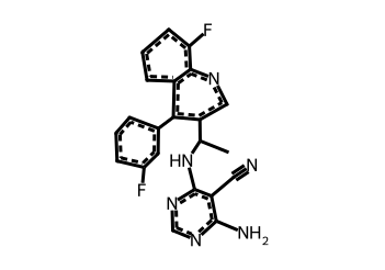 CC(Nc1ncnc(N)c1C#N)c1cnc2c(F)cccc2c1-c1cccc(F)c1